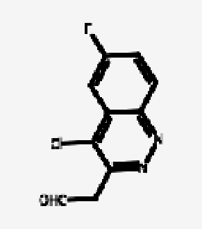 O=CCc1nnc2ccc(F)cc2c1Cl